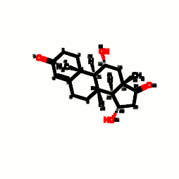 C[C@]12CCC(=O)C=C1CC[C@@H]1[C@@H]2[C@H](O)C[C@]2(C)C(=O)C[C@H](O)[C@@H]12